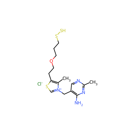 Cc1ncc(C[n+]2csc(CCOCCCSS)c2C)c(N)n1.[Cl-]